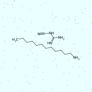 CCCCCCCCCCCCN.N#CNC(=N)N